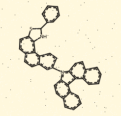 c1ccc(C2Nc3c(ccc4ccc5cc(-n6c7ccc8ccccc8c7c7c8ccccc8ccc76)ccc5c34)S2)cc1